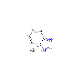 C1=CC2=NC=NC2C=C1.[Zn]